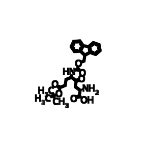 CC(C)(C)OC(=O)CCC(NC(=O)OCC1c2ccccc2-c2ccccc21)C(=O)C[C@H](N)C(=O)O